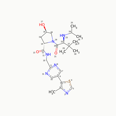 Cc1ncsc1-c1cnc(CNC(=O)[C@@H]2C[C@@H](O)CN2C(=O)[C@@H](NC(C)C)C(C)(C)C)nc1